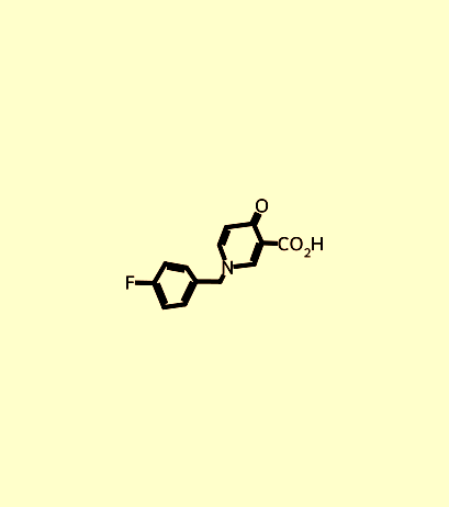 O=C(O)c1cn(Cc2ccc(F)cc2)ccc1=O